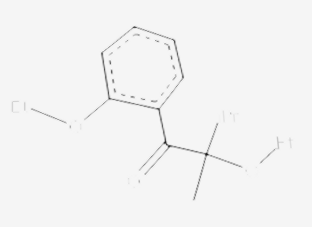 CCOc1ccccc1C(=O)C(C)(OCC)C(C)C